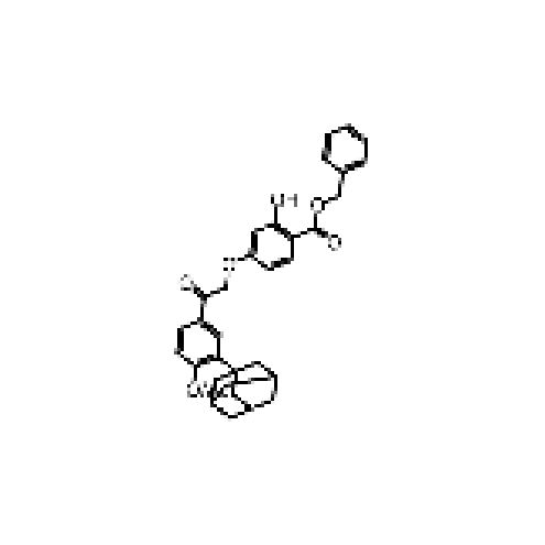 COc1ccc(C(=O)COc2ccc(C(=O)OCc3ccccc3)c(O)c2)cc1C12CC3CC(CC(C3)C1)C2